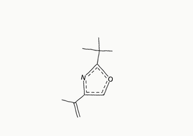 C=C(C)c1coc(C(C)(C)C)n1